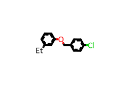 CCc1cccc(OCc2ccc(Cl)cc2)c1